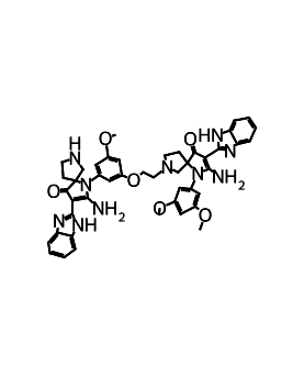 COc1cc(OCCN2CCC3(C2)C(=O)C(c2nc4ccccc4[nH]2)=C(N)N3c2cc(OC)cc(OC)c2)cc(N2C(N)=C(c3nc4ccccc4[nH]3)C(=O)C23CCNC3)c1